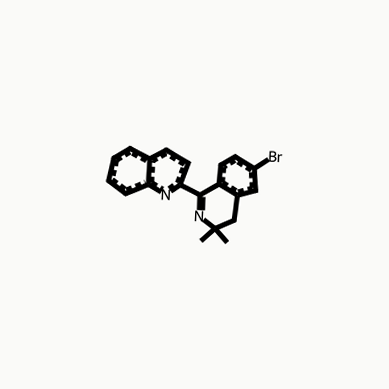 CC1(C)Cc2cc(Br)ccc2C(c2ccc3ccccc3n2)=N1